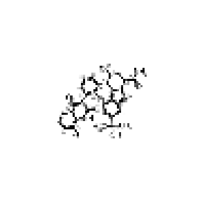 CC(C)(O)c1ccc2c3c([nH]c2c1)C(C(N)=O)CC(Cl)[C@H]3c1cccc(-n2c(=O)[nH]c3c(F)cccc3c2=O)c1Cl